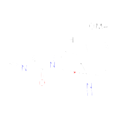 COc1ccc2c(c1)C13CCNC(C2)C12CCC1C3[C@@H](CN1C(=O)c1ccccn1)C2